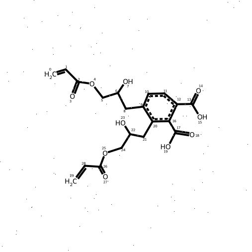 C=CC(=O)OCC(O)Cc1ccc(C(=O)O)c(C(=O)O)c1CC(O)COC(=O)C=C